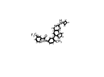 Cc1ccc(NC(=O)c2cc(C(F)(F)F)ccn2)cc1C1=Cc2cnc(NC3CCC3)nc2N2CCN=C12